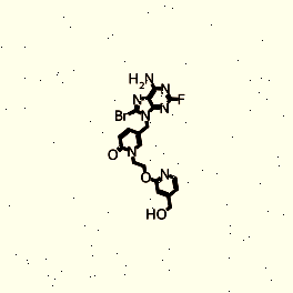 Nc1nc(F)nc2c1nc(Br)n2Cc1ccc(=O)n(CCOc2cc(CO)ccn2)c1